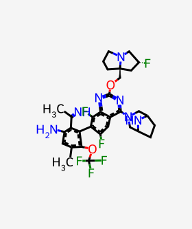 CC(=N)c1c(N)cc(C)c(OC(F)(F)F)c1-c1c(F)cc2c(N3CC4CCC(C3)N4)nc(OC[C@@]34CCCN3C[C@H](F)C4)nc2c1F